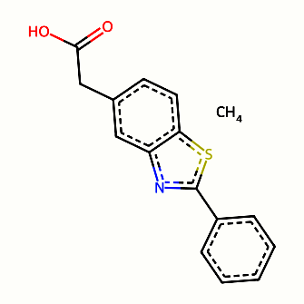 C.O=C(O)Cc1ccc2sc(-c3ccccc3)nc2c1